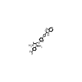 COc1cnccc1NC(=O)C1CN(c2ccc(OC/C(=C(\C)N)N(N)c3ccc(C(F)F)cc3)nn2)C1